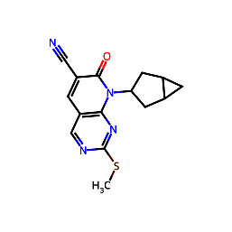 CSc1ncc2cc(C#N)c(=O)n(C3CC4CC4C3)c2n1